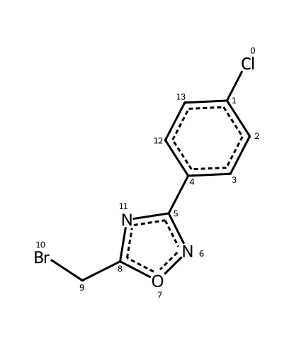 Clc1ccc(-c2noc(CBr)n2)cc1